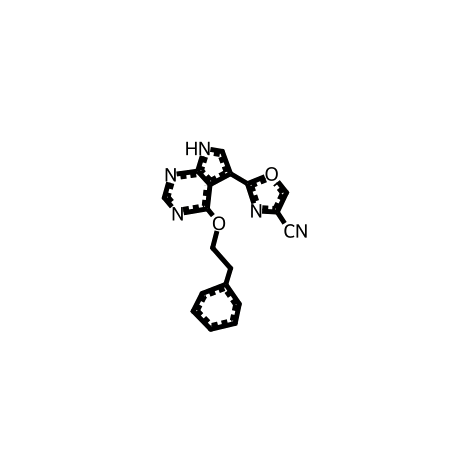 N#Cc1coc(-c2c[nH]c3ncnc(OCCc4ccccc4)c23)n1